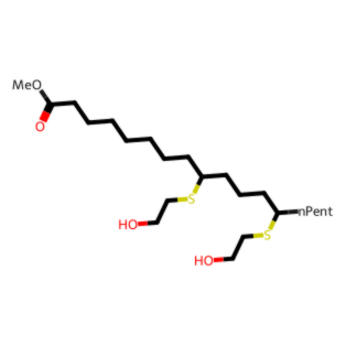 CCCCCC(CCCC(CCCCCCCC(=O)OC)SCCO)SCCO